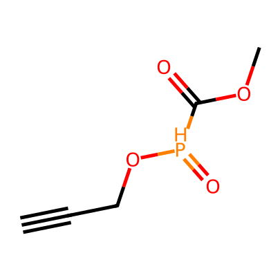 C#CCO[PH](=O)C(=O)OC